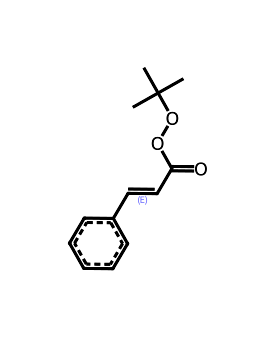 CC(C)(C)OOC(=O)/C=C/c1ccccc1